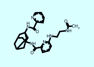 CC(=O)NCCNc1cccc(C(=O)NC23CC4CC(CC(NC(=O)c5ccccn5)(C4)C2)C3)n1